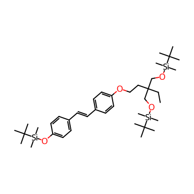 CCC(CCOc1ccc(/C=C/c2ccc(O[Si](C)(C)C(C)(C)C)cc2)cc1)(CO[Si](C)(C)C(C)(C)C)CO[Si](C)(C)C(C)(C)C